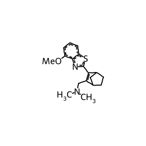 COc1cccc2sc(C3=C(CN(C)C)C4CCC3C4)nc12